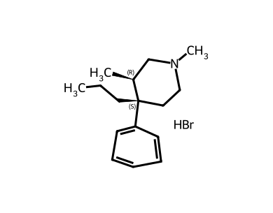 Br.CCC[C@]1(c2ccccc2)CCN(C)C[C@@H]1C